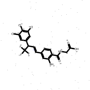 Bc1cc(/C=C/C(c2cc(Cl)c(Cl)c(Cl)c2)C(F)(F)F)ccc1C(=O)NCC(=O)O